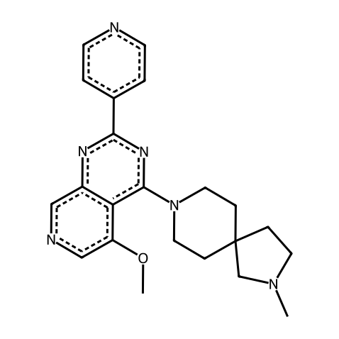 COc1cncc2nc(-c3ccncc3)nc(N3CCC4(CCN(C)C4)CC3)c12